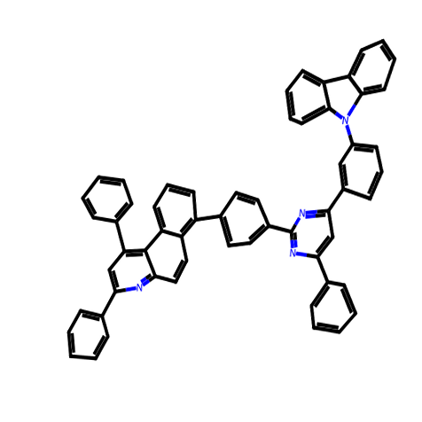 c1ccc(-c2cc(-c3cccc(-n4c5ccccc5c5ccccc54)c3)nc(-c3ccc(-c4cccc5c4ccc4nc(-c6ccccc6)cc(-c6ccccc6)c45)cc3)n2)cc1